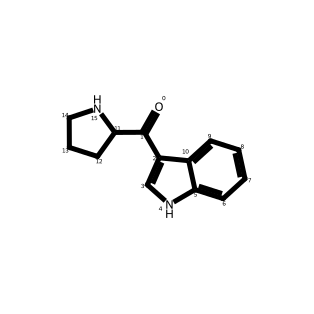 O=C(c1c[nH]c2ccccc12)C1CCCN1